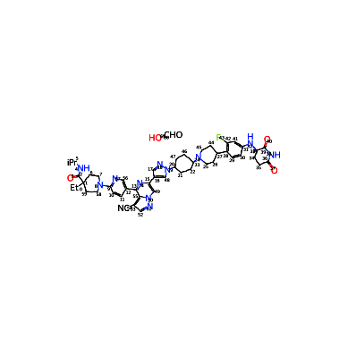 CCC1(C(=O)NC(C)C)CCN(c2ccc(-c3nc(-c4cnn(C5CCC(N6CCC(c7ccc(N[C@@H]8CCC(=O)NC8=O)cc7F)CC6)CC5)c4)cn4ncc(C#N)c34)cn2)CC1.O=CO